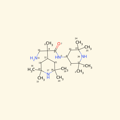 CC1(C)CC(NC(=O)C(C)(CN)C2CC(C)(C)NC(C)(C)C2)CC(C)(C)N1